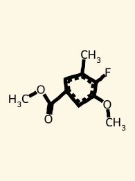 COC(=O)c1cc(C)c(F)c(OC)c1